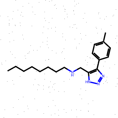 CCCCCCCCNCc1[nH]nnc1-c1ccc(C)cc1